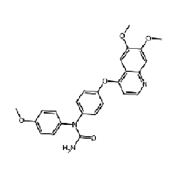 COc1ccc(N(C(N)=O)c2ccc(Oc3ccnc4cc(OC)c(OC)cc34)cc2)cc1